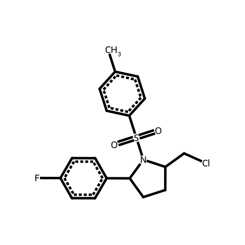 Cc1ccc(S(=O)(=O)N2C(CCl)CCC2c2ccc(F)cc2)cc1